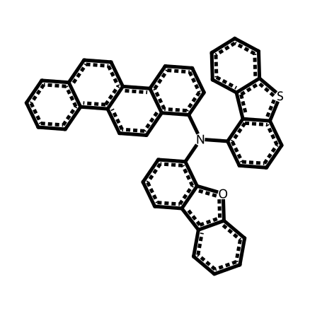 c1ccc2c(c1)ccc1c3cccc(N(c4cccc5c4oc4ccccc45)c4cccc5sc6ccccc6c45)c3ccc21